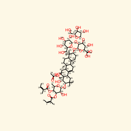 C/C=C(/C)C(=O)OC1[C@@H](OC(=O)/C(C)=C\C)C(C)O[C@@H](O[C@H]2[C@H](O)[C@@]3(COC(C)=O)C(CC2(C)C)C2=CCC4[C@@]5(C)CC[C@H](O[C@@H]6OC(C(=O)O)[C@@H](O)C(O[C@@H]7O[C@@H](CO)C(O)[C@@H]7O)[C@@H]6O[C@@H]6OC(CO)[C@H](O)C(O)[C@@H]6O)C(C)(C)C5CC[C@@]4(C)[C@]2(C)C[C@H]3O)[C@H]1O